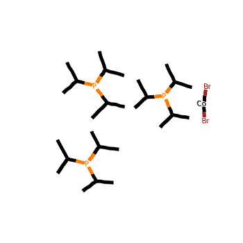 CC(C)P(C(C)C)C(C)C.CC(C)P(C(C)C)C(C)C.CC(C)P(C(C)C)C(C)C.[Br][Co][Br]